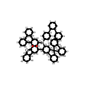 c1ccc(-c2ccccc2-c2ccc(N(c3ccc4c5ccccc5c5ccccc5c4c3)c3cc4c(cc3-c3ccc5oc6ccccc6c5c3)-c3ccccc3C43c4ccccc4-c4ccccc43)cc2)cc1